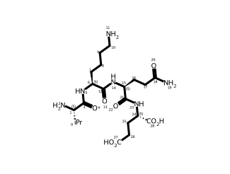 CC(C)[C@H](N)C(=O)N[C@@H](CCCCN)C(=O)N[C@@H](CCC(N)=O)C(=O)N[C@@H](CCC(=O)O)C(=O)O